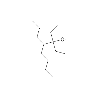 CCCCC(CCC)C([O])(CC)CC